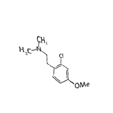 COc1ccc(CCN(C)C)c(Cl)c1